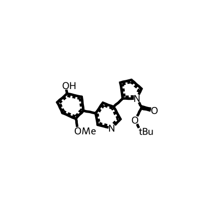 COc1ccc(O)cc1-c1cncc(-c2cccn2C(=O)OC(C)(C)C)c1